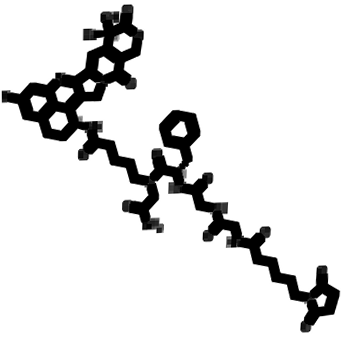 CC[C@@]1(O)C(=O)OCc2c1cc1n(c2=O)Cc2c-1nc1cc(F)cc3c1c2[C@@H](NC(=O)CCCCN(CC(N)=O)C(=O)[C@H](Cc1ccccc1)NC(=O)CNC(=O)CNC(=O)CCCCCN1C(=O)C=CC1=O)CC3